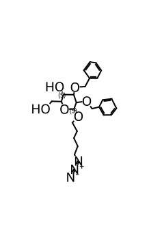 [N-]=[N+]=NCCCCCO[C@H]1OC(CO)[C@H](O)C(OCc2ccccc2)C1OCc1ccccc1